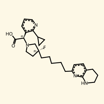 O=C(O)[C@@H](c1cccnc1C1CC1)N1CC[C@](F)(CCCCCc2ccc3c(n2)NCCC3)C1